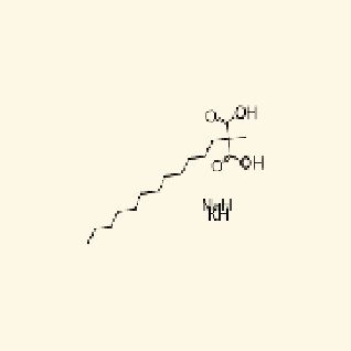 CCCCCCCCCCCCC(C)(C(=O)O)C(=O)O.[KH].[NaH]